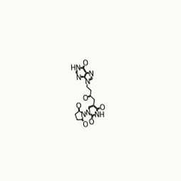 O=C(CCn1cnc2c(=O)[nH]cnc21)Cc1cn(N2C(=O)CCC2=O)c(=O)[nH]c1=O